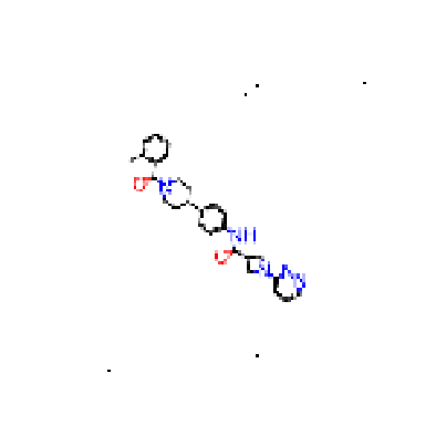 Cc1ccccc1C(=O)N1CCC(c2ccc(NC(=O)C3CN(c4cccnn4)C3)cc2)CC1